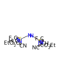 CCOC(=O)C1=C(C)N(c2cccc(C(F)(F)F)c2)C(SCCCCCCCCCCN2CCN(CCCCCCCCCCSC3=NC(c4ccc(C#N)cc4)C(C(=O)OCC)=C(C)N3c3cccc(C(F)(F)F)c3)CC2)=NC1c1ccc(C#N)cc1